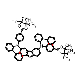 CC1(C)OB(c2ccc(N(c3ccc4sc5ccc(N(c6ccc(B7OC(C)(C)C(C)(C)O7)cc6)c6ccccc6-c6ccccc6)cc5c4c3)c3ccccc3-c3ccccc3)cc2)OC1(C)C